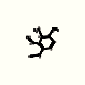 Nc1ccc(N=O)c(N=O)c1N